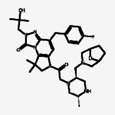 C[C@@H]1CN(CC(=O)N2CC(C)(C)c3c2cc(Cc2ccc(F)cc2)c2nn(CC(C)(C)O)c(=O)n32)[C@@H](CN2CC3CCC(C2)O3)CN1